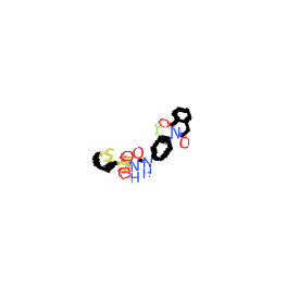 O=C(Nc1ccc(N2C(=O)Cc3ccccc3C2=O)c(F)c1)NS(=O)(=O)c1cccs1